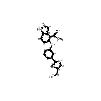 COC(=O)c1c(Oc2cccc(-c3ncc(CO)[nH]3)c2)ccc2[nH]ncc12